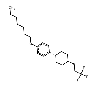 CCCCCCCOc1ccc([C@H]2CC[C@H](CCC(F)(F)F)CC2)cc1